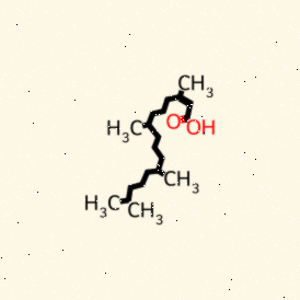 CC(=CC(=O)O)CCCC(C)CCCC(C)CCCC(C)C